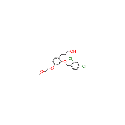 COCCOc1ccc(CCCO)c(OCc2ccc(Cl)cc2Cl)c1